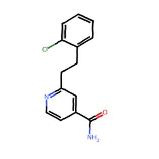 NC(=O)c1ccnc(CCc2ccccc2Cl)c1